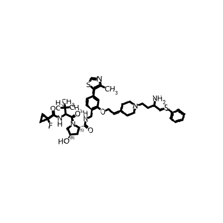 Cc1ncsc1-c1ccc(CNC(=O)[C@@H]2C[C@@H](O)CN2C(=O)C(NC(=O)C2(F)CC2)C(C)(C)C)c(OCCC2CCN(CCC(N)CSc3ccccc3)CC2)c1